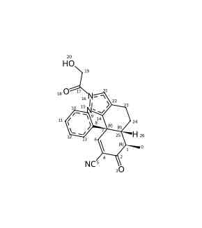 C[C@H]1C(=O)C(C#N)=C[C@]2(c3ccccc3)c3nn(C(=O)CO)cc3CC[C@H]12